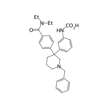 CCN(CC)C(=O)c1ccc(C2(c3cccc(NC(=O)O)c3)CCCN(Cc3ccccc3)C2)cc1